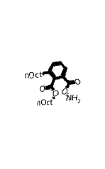 CCCCCCCCOC(=O)c1c(CCCCCCCC)cccc1C(=O)ON